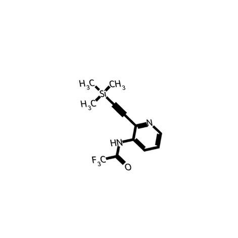 C[Si](C)(C)C#Cc1ncccc1NC(=O)C(F)(F)F